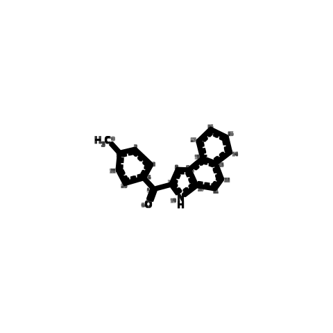 Cc1ccc(C(=O)c2cc3c(ccc4ccccc43)[nH]2)cc1